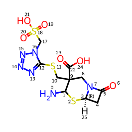 NC1S[C@@H]2CC(=O)N2CC1(CSc1nnnn1CS(=O)(=O)O)C(=O)O